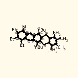 Bc1c(C)c(C)c(B)c2c1Cc1c(c(CCCC)c3cc4c(CC)c(CC)c(CC)c(CC)c4cc3c1CCCC)C2